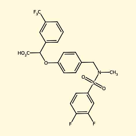 CN(Cc1ccc(OC(C(=O)O)c2cccc(C(F)(F)F)c2)cc1)S(=O)(=O)c1ccc(F)c(F)c1